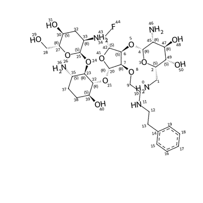 NC[C@@H]1O[C@H](O[C@H]2[C@@H](OCCNCCc3ccccc3)[C@H](O[C@H]3[C@H](O[C@H]4O[C@H](CO)[C@@H](O)C[C@H]4N)[C@@H](N)CC[C@@H]3O)O[C@@H]2CF)[C@H](N)[C@@H](O)[C@@H]1O